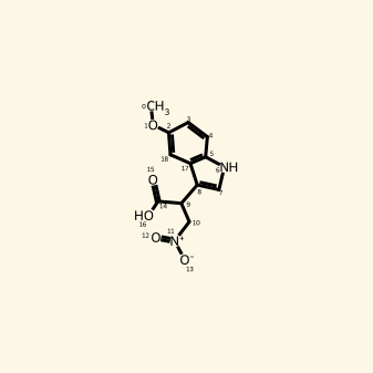 COc1ccc2[nH]cc(C(C[N+](=O)[O-])C(=O)O)c2c1